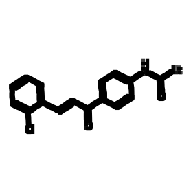 CCC(=O)Nc1ccc(C(=O)/C=C/c2ccccc2Cl)cc1